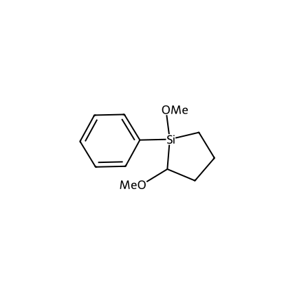 COC1CCC[Si]1(OC)c1ccccc1